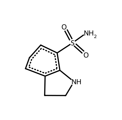 NS(=O)(=O)c1cccc2c1NCC2